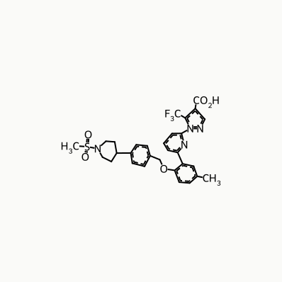 Cc1ccc(OCc2ccc(C3CCN(S(C)(=O)=O)CC3)cc2)c(-c2cccc(-n3ncc(C(=O)O)c3C(F)(F)F)n2)c1